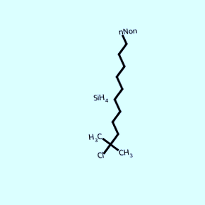 CCCCCCCCCCCCCCCCCCC(C)(C)Cl.[SiH4]